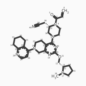 C=CC(=O)N1CCN(c2nc(OC[C@@H]3CCCN3C)nc3c2CCN(c2ccnc4c2CCCC4)C3)C[C@@H]1CC#N